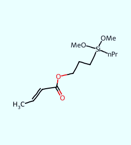 CC=CC(=O)OCCC[Si](CCC)(OC)OC